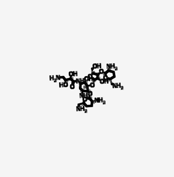 NC[C@@H]1CC[C@@H](N)[C@@H](O[C@H]2[C@H](O[C@@H]3O[C@H](CO)[C@@H](O[C@H]4O[C@@H](CN)CC[C@H]4N)[C@H]3O)[C@@H](O)[C@H](NC(=O)[C@H](O)[C@H](O)CN)C[C@@H]2N)O1